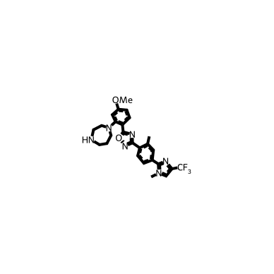 COc1ccc(-c2nc(-c3ccc(-c4nc(C(F)(F)F)cn4C)cc3C)no2)c(N2CCCNCC2)c1